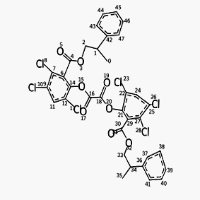 CC(COC(=O)c1c(Cl)c(Cl)cc(Cl)c1OC(=O)C(=O)Oc1c(Cl)cc(Cl)c(Cl)c1C(=O)OCC(C)c1ccccc1)c1ccccc1